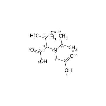 CC(C)C(C(=O)O)N(CC(=O)O)C(C)C